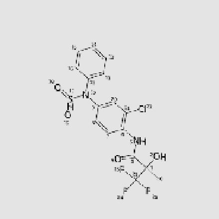 C[C@@](O)(C(=O)Nc1ccc(N(c2ccccc2)[SH](=O)=O)cc1Cl)C(F)(F)F